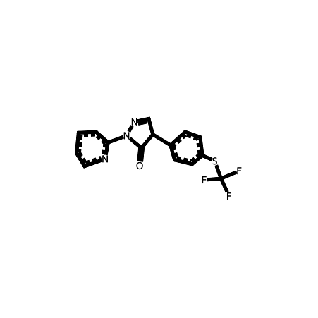 O=C1C(c2ccc(SC(F)(F)F)cc2)C=NN1c1ccccn1